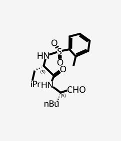 CCCC[C@@H](C=O)NC(=O)[C@H](CC(C)C)NS(=O)(=O)c1ccccc1C